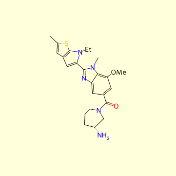 CCn1c(-c2nc3cc(C(=O)N4CCC[C@@H](N)C4)cc(OC)c3n2C)cc2cc(C)sc21